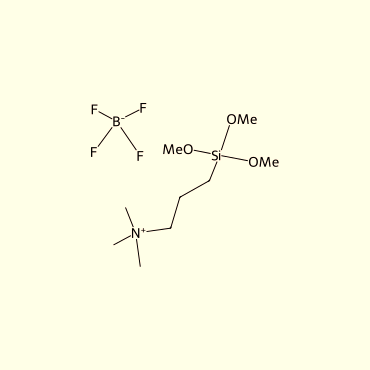 CO[Si](CCC[N+](C)(C)C)(OC)OC.F[B-](F)(F)F